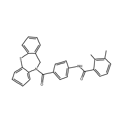 Cc1cccc(C(=O)Nc2ccc(C(=O)N3Cc4ccccc4Sc4ccccc43)cc2)c1C